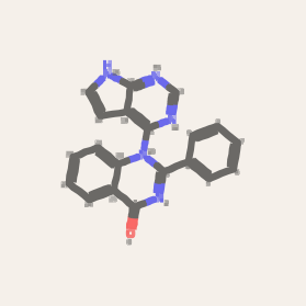 O=c1nc(-c2ccccc2)n(-c2ncnc3[nH]ccc23)c2ccccc12